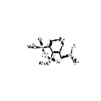 COS(=O)(=O)c1cncc(C=[N+]([O-])C(C)(C)C)c1S(=O)(=O)OC